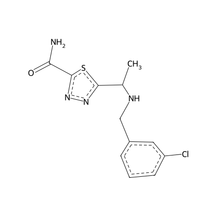 CC(NCc1cccc(Cl)c1)c1nnc(C(N)=O)s1